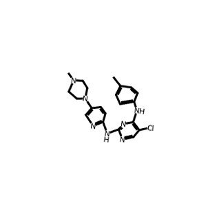 Cc1ccc(Nc2nc(Nc3ccc(N4CCN(C)CC4)cn3)ncc2Cl)cc1